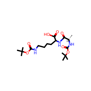 C[C@H](NC(=O)OC(C)(C)C)C(=O)NC(CCCCNC(=O)OC(C)(C)C)C(=O)O